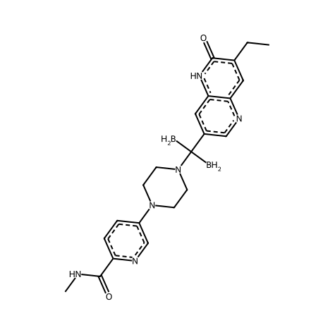 BC(B)(c1cnc2cc(CC)c(=O)[nH]c2c1)N1CCN(c2ccc(C(=O)NC)nc2)CC1